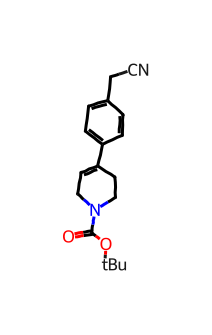 CC(C)(C)OC(=O)N1CC=C(c2ccc(CC#N)cc2)CC1